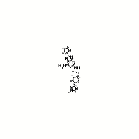 Cn1cnc(-c2ccc(CCNc3nc(N)n4nc(-c5ccco5)nc4n3)cc2)n1